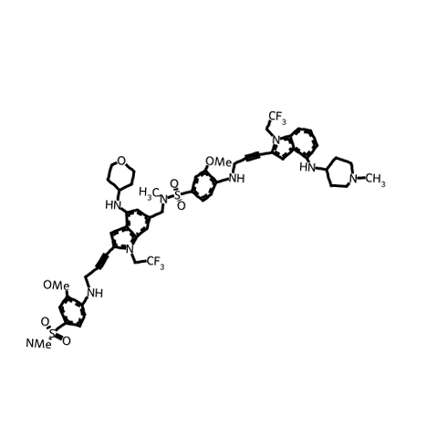 CNS(=O)(=O)c1ccc(NCC#Cc2cc3c(NC4CCOCC4)cc(CN(C)S(=O)(=O)c4ccc(NCC#Cc5cc6c(NC7CCN(C)CC7)cccc6n5CC(F)(F)F)c(OC)c4)cc3n2CC(F)(F)F)c(OC)c1